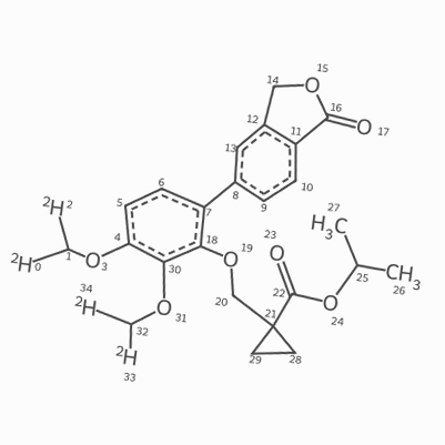 [2H]C([2H])Oc1ccc(-c2ccc3c(c2)COC3=O)c(OCC2(C(=O)OC(C)C)CC2)c1OC([2H])[2H]